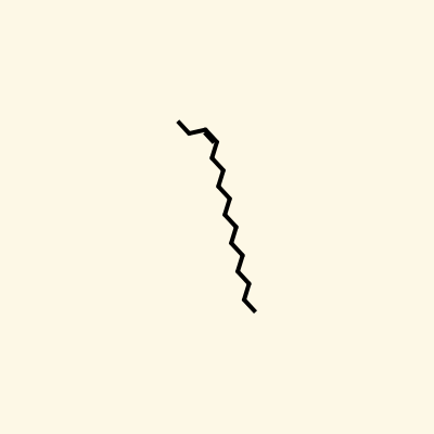 CC/C=C\CCCCCCCCCCCC